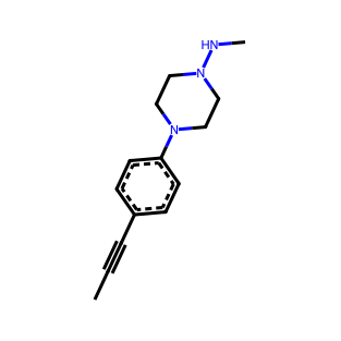 CC#Cc1ccc(N2CCN(NC)CC2)cc1